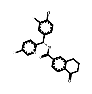 O=C(N[C@@H](c1ccc(Cl)c(Cl)c1)c1ccc(Cl)cn1)c1ccc2c(c1)CCCC2=O